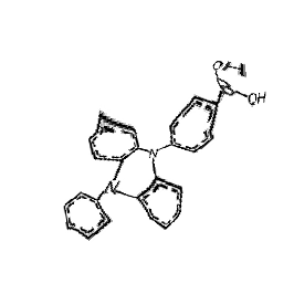 OB(O)c1ccc(N2c3ccccc3N(c3ccccc3)c3ccccc32)cc1